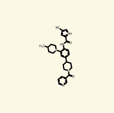 CC1CCN(c2cc(C3CCN(C(=O)c4cccnc4)CC3)ccc2NC(=O)c2cc(C#N)c[nH]2)CC1